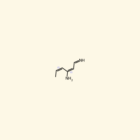 C/C=C\C(N)=C/C=N